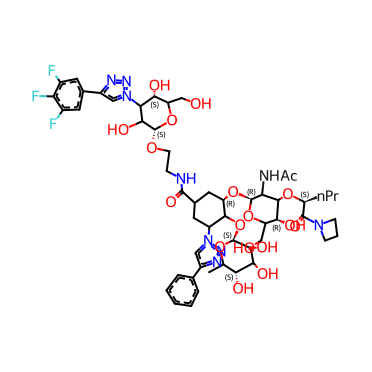 CCC[C@H](OC1C(NC(C)=O)[C@H](O[C@@H]2CC(C(=O)NCCO[C@H]3OC(CO)[C@@H](O)C(n4cc(-c5cc(F)c(F)c(F)c5)nn4)C3O)CC(n3cc(-c4ccccc4)nn3)C2O[C@@H]2OC(C)[C@@H](O)C(O)C2O)OC(CO)[C@@H]1O)C(=O)N1CCC1